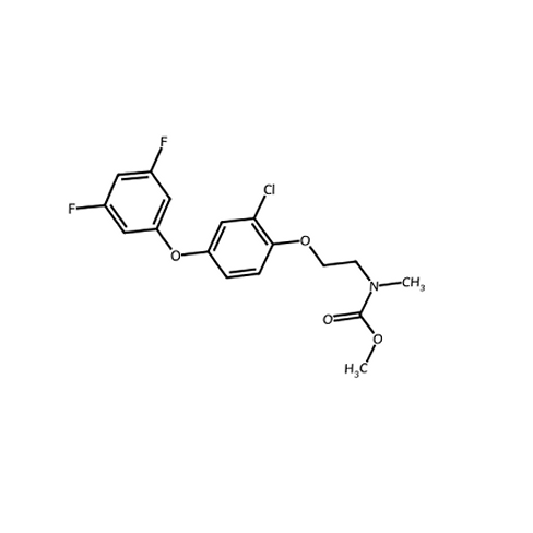 COC(=O)N(C)CCOc1ccc(Oc2cc(F)cc(F)c2)cc1Cl